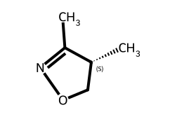 CC1=NOC[C@H]1C